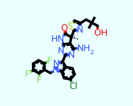 CC(C)(CO)Cc1csc([C@]2(C)C(=O)Nc3nc(-c4nn(Cc5c(F)ccc(F)c5F)c5cc(Cl)ccc45)nc(N)c32)n1